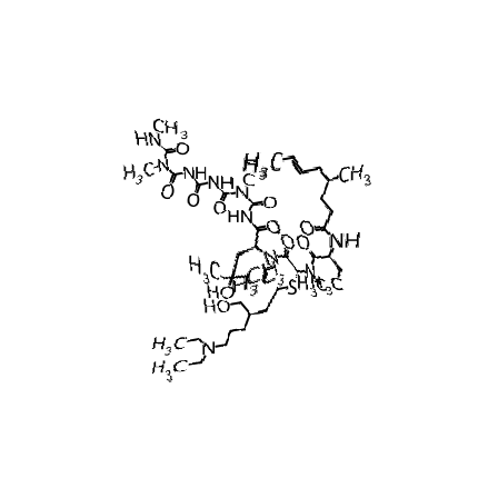 C/C=C/C[C@@H](C)CCC(=O)N[C@@H](CC)C(=O)N(C)[C@H](SCC[C@H](CO)CCCN(CC)CC)C(=O)N(C)[C@@H](CC(C)(C)O)C(=O)NC(=O)N(C)C(=O)NC(=O)NC(=O)N(C)C(=O)NC